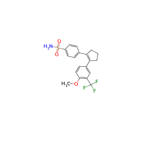 COc1ccc(C2=C(c3ccc(S(N)(=O)=O)cc3)CCC2)cc1C(F)(F)F